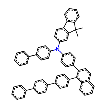 CC1(C)c2ccccc2-c2ccc(N(c3ccc(-c4ccccc4)cc3)c3ccc(-c4ccc5ccccc5c4-c4ccc(-c5ccc(-c6ccccc6)cc5)cc4)cc3)cc21